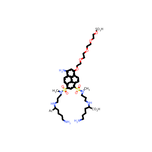 CC(=O)C(CCCCN)NCCCN(C)S(=O)(=O)c1cc(S(=O)(=O)N(C)CCCNC(CCCCN)C(=O)O)c2ccc3c(OCCOCCOCCOCCOS(=O)(=O)O)cc(N)c4ccc1c2c43